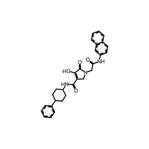 O=C(CN1CC(C(=O)NC2CCC(c3ccccc3)CC2)=C(O)C1=O)Nc1ccc2ccccc2c1